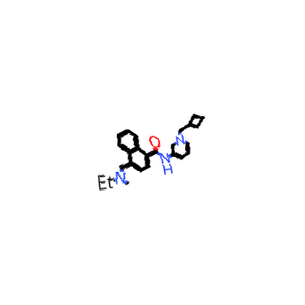 CCN(C)Cc1ccc(C(=O)NC2=CC=CN(CC3CCC3)C2)c2ccccc12